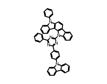 c1ccc(-c2nc(-c3ccc(-n4c5ccccc5c5ccccc54)cc3)nc(-n3c4ccccc4c4ccc5c(c6ccccc6n5-c5ccccc5)c43)n2)cc1